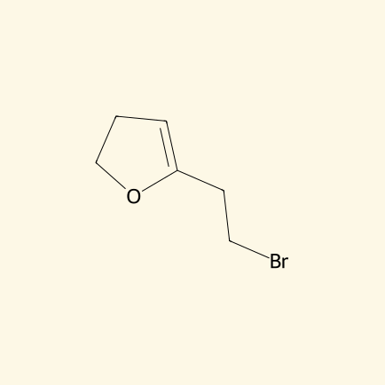 BrCCC1=CCCO1